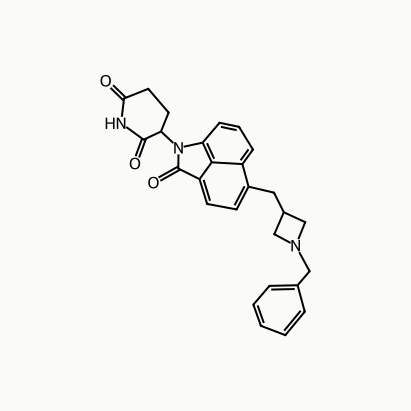 O=C1CCC(N2C(=O)c3ccc(CC4CN(Cc5ccccc5)C4)c4cccc2c34)C(=O)N1